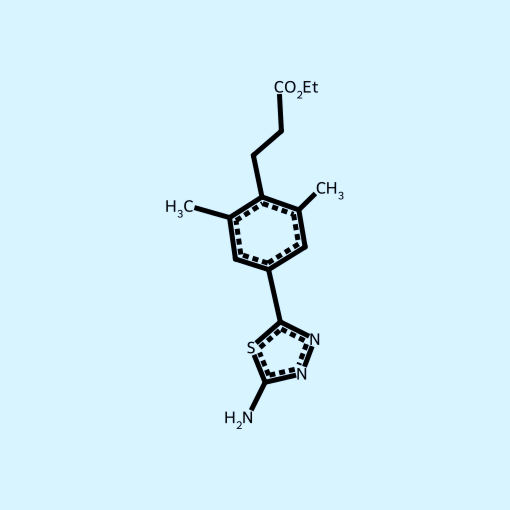 CCOC(=O)CCc1c(C)cc(-c2nnc(N)s2)cc1C